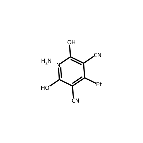 CCc1c(C#N)c(O)nc(O)c1C#N.N